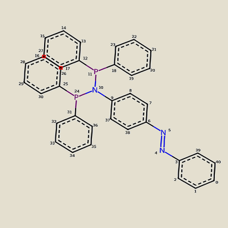 c1ccc(N=Nc2ccc(N(P(c3ccccc3)c3ccccc3)P(c3ccccc3)c3ccccc3)cc2)cc1